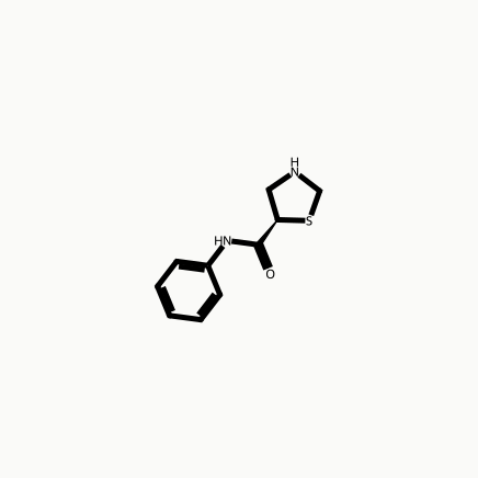 O=C(Nc1ccccc1)[C@H]1CNCS1